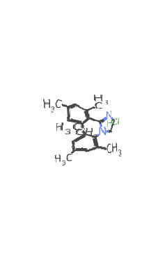 Cc1cc(C)c(C2=NCCN2c2c(C)cc(C)cc2C)c(C)c1.Cl